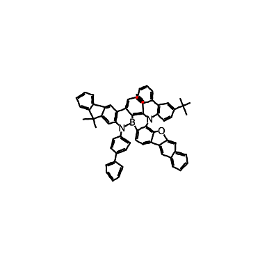 Cc1cc2c3c(c1)N(c1ccc(C(C)(C)C)cc1-c1ccccc1)c1c(ccc4c1oc1cc5ccccc5cc14)B3N(c1ccc(-c3ccccc3)cc1)c1cc3c(cc1-2)-c1ccccc1C3(C)C